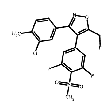 Cc1ccc(-c2noc(CF)c2-c2cc(F)c(S(C)(=O)=O)c(F)c2)cc1Cl